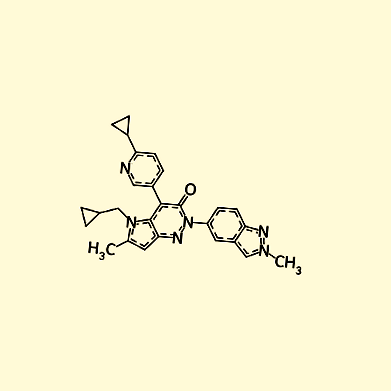 Cc1cc2nn(-c3ccc4nn(C)cc4c3)c(=O)c(-c3ccc(C4CC4)nc3)c2n1CC1CC1